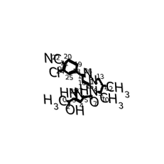 CC(O)c1cc(C(=O)N[C@@H](C)C(C)Cn2ccc(-c3ccc(C#N)c(Cl)c3)n2)n[nH]1